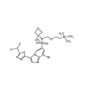 CC1(N(COCC[Si](C)(C)C)S(=O)(=O)c2cc(Br)c3ncc(-c4nnc(C(F)F)s4)n3c2)COC1